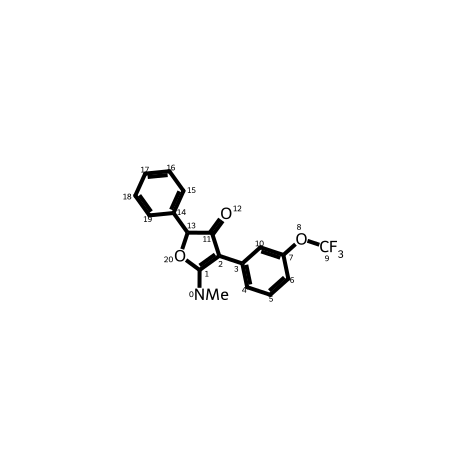 CNC1=C(c2cccc(OC(F)(F)F)c2)C(=O)C(c2ccccc2)O1